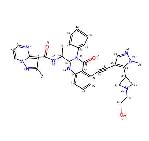 Cc1nn2cccnc2c1C(=O)NC(C)c1nc2cccc(C#Cc3cnn(C)c3C3CN(CCO)C3)c2c(=O)n1-c1ccccc1